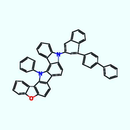 c1ccc(-c2ccc(-c3cc(-n4c5ccccc5c5c4ccc4c6ccc7oc8ccccc8c7c6n(-c6ccccc6)c45)cc4ccccc34)cc2)cc1